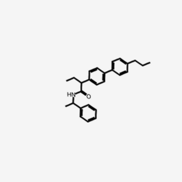 CCCc1ccc(-c2ccc(C(CC)C(=O)NC(C)c3ccccc3)cc2)cc1